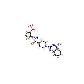 O=C(O)c1ccsc1NC(=O)C1CCN(c2nc3ccccc3[n+]([O-])n2)CC1